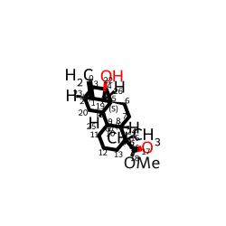 C=C1[C@H]2CC[C@@]3(CC[C@H]4[C@@](C)(CCC[C@@]4(C)C(=O)OC)[C@@H]3C2)[C@H]1O